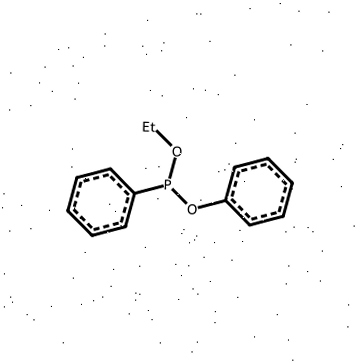 CCOP(Oc1ccccc1)c1ccccc1